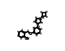 Brc1ccccc1COc1cccc(N2C=CN(C3CCC3)C2)c1